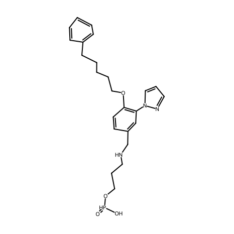 O=[PH](O)OCCCNCc1ccc(OCCCCCc2ccccc2)c(-n2cccn2)c1